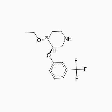 CCO[C@@H]1CCNC[C@H]1Oc1cccc(C(F)(F)F)c1